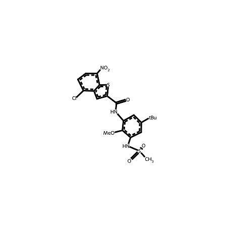 COc1c(NC(=O)c2cc3c(Cl)ccc([N+](=O)[O-])c3s2)cc(C(C)(C)C)cc1NS(C)(=O)=O